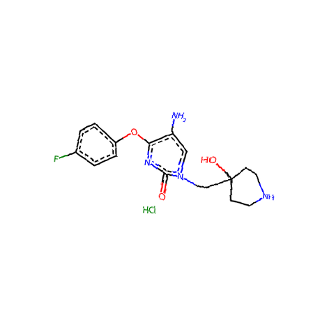 Cl.Nc1cn(CC2(O)CCNCC2)c(=O)nc1Oc1ccc(F)cc1